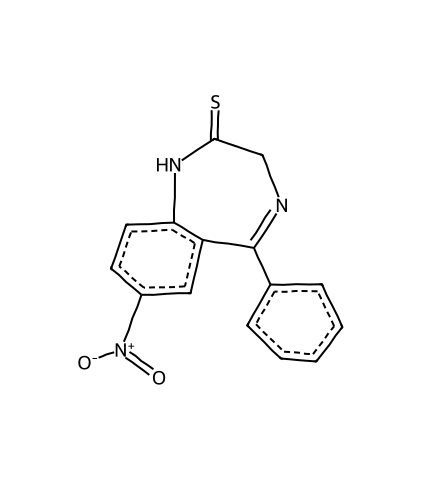 O=[N+]([O-])c1ccc2c(c1)C(c1ccccc1)=NCC(=S)N2